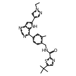 CCn1cc(-c2cc3ncnc(-c4ccc(CNC(=O)c5ncc(C(C)(C)C)s5)c(C)c4)c3[nH]2)cn1